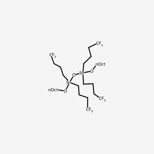 CCCCCCCC[O][Sn]([CH2]CCC(F)(F)F)([CH2]CCC(F)(F)F)[O][Sn]([CH2]CCC(F)(F)F)([CH2]CCC(F)(F)F)[O]CCCCCCCC